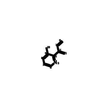 C=CC(=C)c1ncccc1C